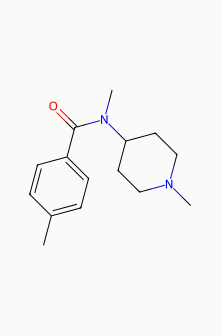 Cc1ccc(C(=O)N(C)C2CCN(C)CC2)cc1